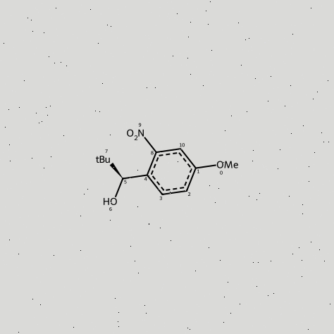 COc1ccc([C@@H](O)C(C)(C)C)c([N+](=O)[O-])c1